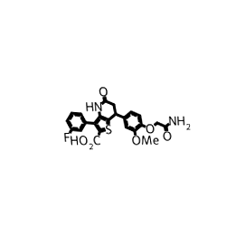 COc1cc(C2CC(=O)Nc3c2sc(C(=O)O)c3-c2cccc(F)c2)ccc1OCC(N)=O